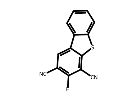 N#Cc1cc2c(sc3ccccc32)c(C#N)c1F